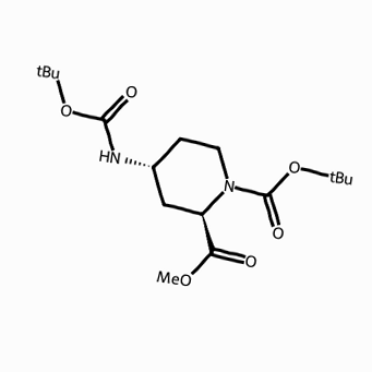 COC(=O)[C@H]1C[C@H](NC(=O)OC(C)(C)C)CCN1C(=O)OC(C)(C)C